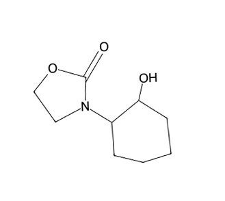 O=C1OCCN1C1CCCCC1O